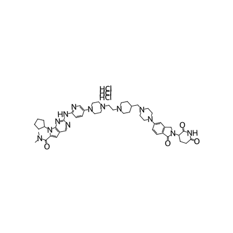 CN(C)C(=O)c1cc2cnc(Nc3ccc(N4CCN(CCN5CCC(CN6CCN(c7ccc8c(c7)CN(C7CCC(=O)NC7=O)C8=O)CC6)CC5)CC4)cn3)nc2n1C1CCCC1.Cl.Cl.Cl